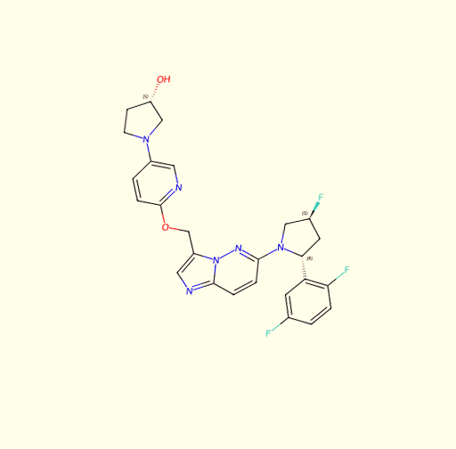 O[C@H]1CCN(c2ccc(OCc3cnc4ccc(N5C[C@@H](F)C[C@@H]5c5cc(F)ccc5F)nn34)nc2)C1